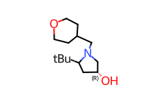 CC(C)(C)C1C[C@@H](O)CN1CC1CCOCC1